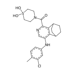 Cc1ccc(Nc2cnc(C(=O)N3CCS(O)(O)CC3)c3c2C2CCC3CC2)cc1Cl